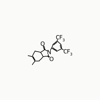 CC1=C(C)CC2C(=O)N(c3cc(C(F)(F)F)cc(C(F)(F)F)c3)C(=O)C2C1